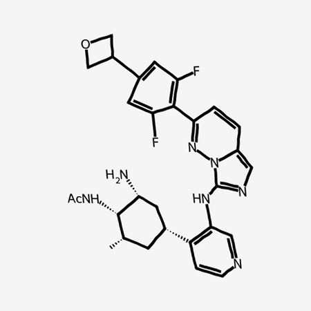 CC(=O)N[C@@H]1[C@H](N)C[C@H](c2ccncc2Nc2ncc3ccc(-c4c(F)cc(C5COC5)cc4F)nn23)C[C@@H]1C